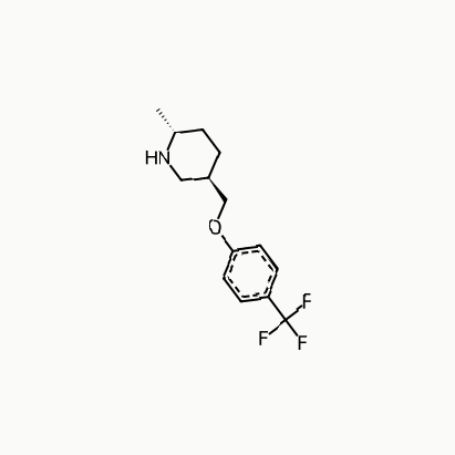 C[C@@H]1CC[C@@H](COc2ccc(C(F)(F)F)cc2)CN1